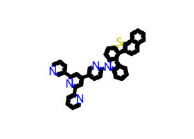 c1ccc(-c2cc(-c3ccc(-n4c5ccccc5c5c6c(ccc54)sc4c5ccccc5ccc46)nc3)cc(-c3cccnc3)n2)nc1